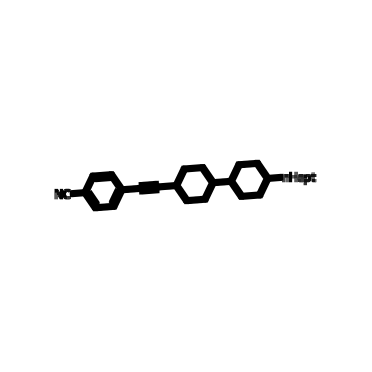 CCCCCCCC1CCC(C2CCC(C#Cc3ccc(C#N)cc3)CC2)CC1